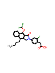 CCCCc1c2c(c(OC(F)F)c3ccccc13)C(=O)N(c1ccc(CC(=O)O)c(F)c1)C2